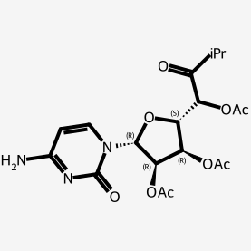 CC(=O)OC(C(=O)C(C)C)[C@H]1O[C@@H](n2ccc(N)nc2=O)[C@H](OC(C)=O)[C@@H]1OC(C)=O